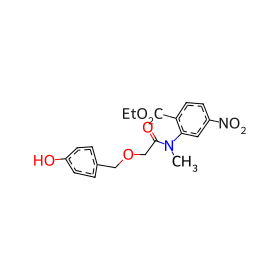 CCOC(=O)c1ccc([N+](=O)[O-])cc1N(C)C(=O)COCc1ccc(O)cc1